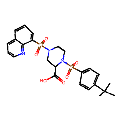 CC(C)(C)c1ccc(S(=O)(=O)N2CCN(S(=O)(=O)c3cccc4cccnc34)C[C@@H]2C(=O)O)cc1